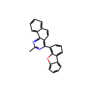 Cc1nc(-c2cccc3c2oc2ccccc23)c2ccc3ccccc3c2n1